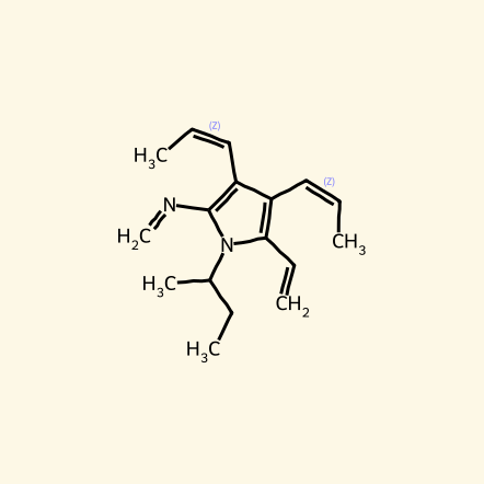 C=Cc1c(/C=C\C)c(/C=C\C)c(N=C)n1C(C)CC